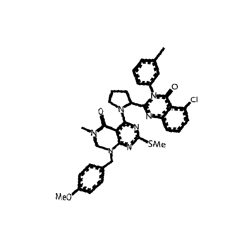 COc1ccc(CN2CN(C)C(=O)c3c2nc(SC)nc3N2CCCC2c2nc3cccc(Cl)c3c(=O)n2-c2cccc(C)c2)cc1